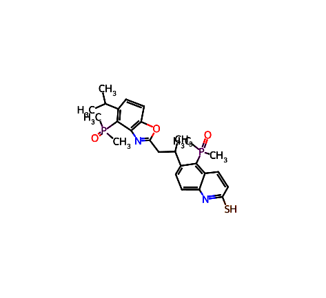 CC(C)c1ccc2oc(CC(C)c3ccc4nc(S)ccc4c3P(C)(C)=O)nc2c1P(C)(C)=O